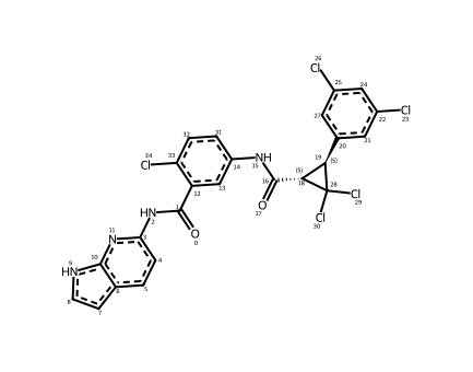 O=C(Nc1ccc2cc[nH]c2n1)c1cc(NC(=O)[C@@H]2[C@@H](c3cc(Cl)cc(Cl)c3)C2(Cl)Cl)ccc1Cl